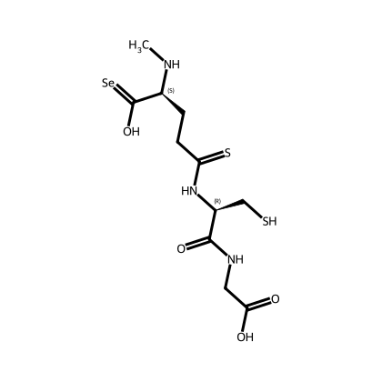 CN[C@@H](CCC(=S)N[C@@H](CS)C(=O)NCC(=O)O)C(O)=[Se]